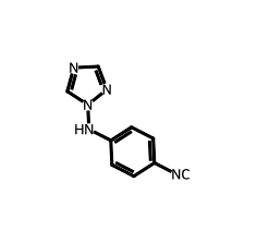 [C-]#[N+]c1ccc(Nn2cncn2)cc1